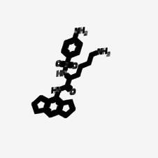 NCCCCC(NS(=O)(=O)c1ccc(N)cc1)C(=O)Nc1c2c(cc3c1CCC3)CCC2